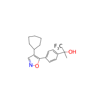 CC(O)(c1ccc(-c2oncc2C2CCCCC2)cc1)C(F)(F)F